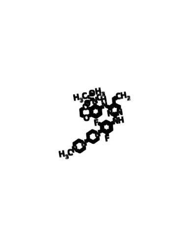 C=Cc1cnc(Nc2cc(F)c(N3CCC(N4CCN(C)CC4)CC3)c(F)c2)nc1Nc1ccc2c(c1N(C)S(C)(=O)=O)OCCO2